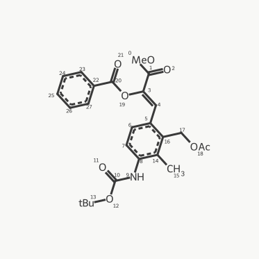 COC(=O)/C(=C/c1ccc(NC(=O)OC(C)(C)C)c(C)c1COC(C)=O)OC(=O)c1ccccc1